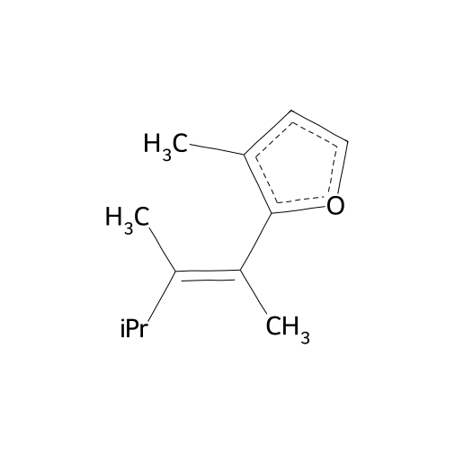 C/C(=C(/C)C(C)C)c1occc1C